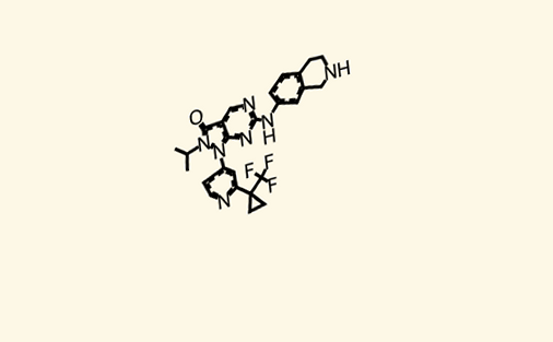 CC(C)n1c(=O)c2cnc(Nc3ccc4c(c3)CNCC4)nc2n1-c1ccnc(C2(C(F)(F)F)CC2)c1